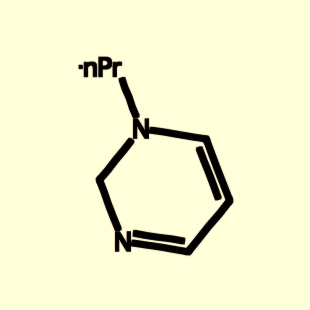 CC[CH]N1C=CC=NC1